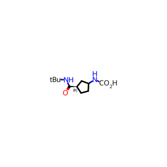 CC(C)(C)NC(=O)[C@@H]1CCC(NC(=O)O)C1